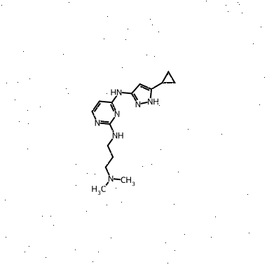 CN(C)CCCNc1nccc(Nc2cc(C3CC3)[nH]n2)n1